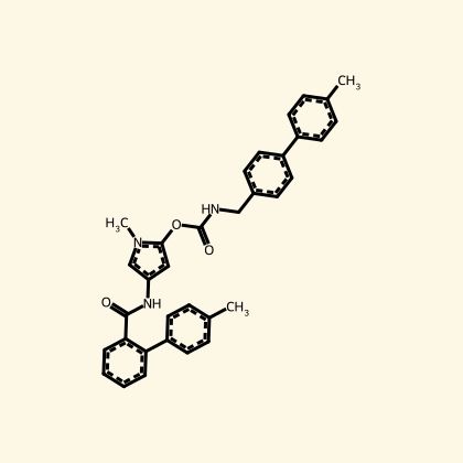 Cc1ccc(-c2ccc(CNC(=O)Oc3cc(NC(=O)c4ccccc4-c4ccc(C)cc4)cn3C)cc2)cc1